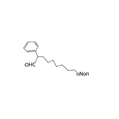 CCCCCCCCCCCCCCCCC([C]=O)c1ccccc1